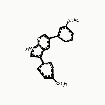 CC(=O)Nc1cccc(-c2cnc3[nH]cc(-c4ccc(C(=O)O)cc4)c3c2)c1